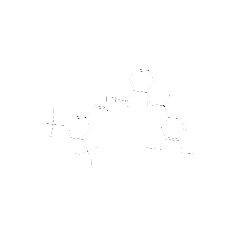 COc1ccc(C(=O)Nc2ccccc2C(=O)NN=Cc2cc(C(F)(F)F)cc(C(F)(F)F)c2)cc1OC